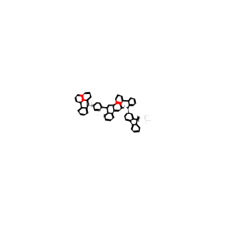 CC1(C)c2ccccc2-c2ccc(N(c3ccc4cc5c6c(cccc6c4c3)Oc3cc(N(c4ccccc4)c4ccccc4-c4ccccc4)ccc3-5)c3ccccc3-c3ccccc3)cc21